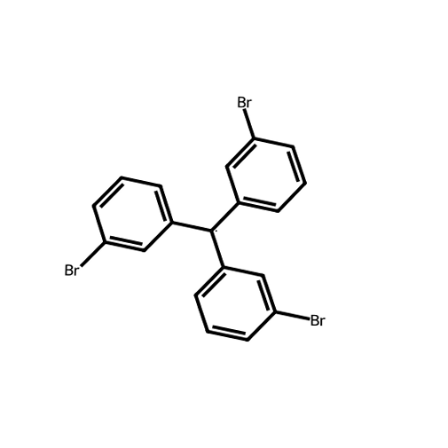 Brc1cccc([C](c2cccc(Br)c2)c2cccc(Br)c2)c1